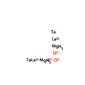 [La+3].[La+3].[MgH2].[MgH2].[O-2].[O-2].[O-2].[Ta].[Ta]